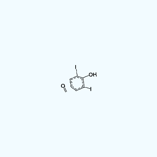 C=O.Oc1c(I)cccc1I